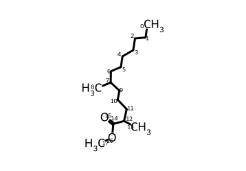 CCCCCCCC(C)CCCC(C)C(=O)OC